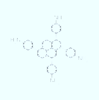 Nc1ccc(-c2ccc3c(-c4ccc(N)cc4)cc4c(-c5ccc(N)cc5)cc(-c5ccc(N)cc5)c5ccc2c3c54)cc1